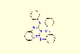 NC(=NC1CCCCC1)N(N)C(=NC1CCCCC1)N(C1CCCCC1)C1CCCCC1